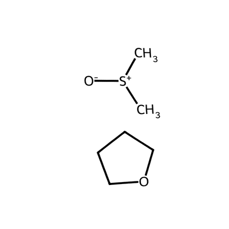 C1CCOC1.C[S+](C)[O-]